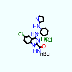 CCCCNC(=O)c1nc(N[C@H]2CCCC[C@H]2NC2=NCCC2)c2cc(Cl)ccc2n1.Cl.Cl